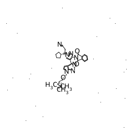 C[Si](C)(C)CCOCn1ccc2c(-c3cn([C@H](CC#N)C4CCCC4)nc3N3C(=O)c4ccccc4C3=O)ncnc21